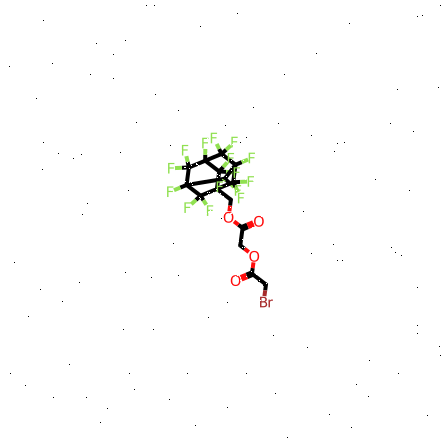 O=C(CBr)OCC(=O)OCC12C(F)(F)C3(F)C(F)(F)C(F)(C(F)(F)C(F)(C3(F)F)C1(F)F)C2(F)F